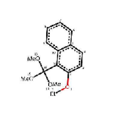 CCOc1ccc2ccccc2c1C(OC)(OC)OC